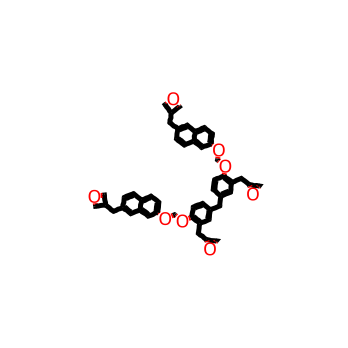 c1cc(OCOc2ccc3cc(CC4COC4)ccc3c2)c(CC2CO2)cc1Cc1ccc(OCOc2ccc3ccc(CC4COC4)cc3c2)c(CC2CO2)c1